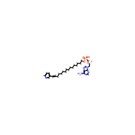 C[C@H](Cn1cnc2c(N)ncnc21)OCP(=O)(O)OCCCCCCCCCCCCCCC#Cc1cccnc1